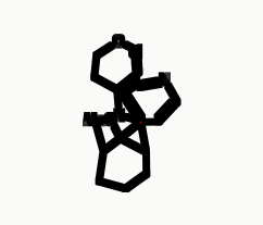 COC1(c2ccnc(Cl)c2)C2CCCC1CN(C1CCOCC1)C2